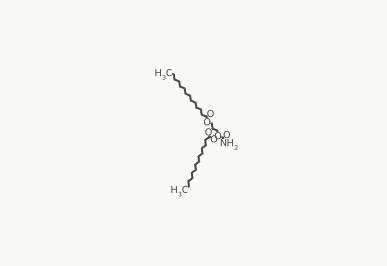 CCCCCCCCCCCCCC(=O)OCC(COC(N)=O)OC(=O)CCCCCCCCCCCCC